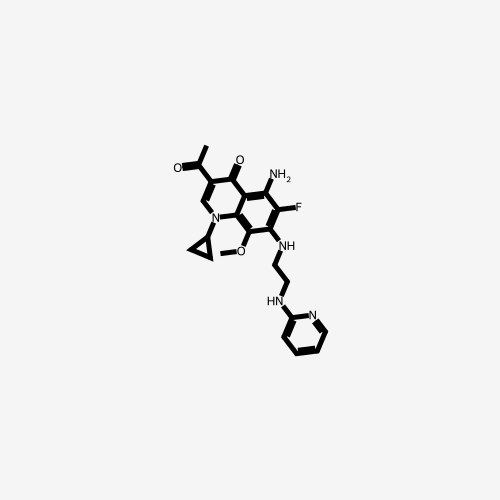 COc1c(NCCNc2ccccn2)c(F)c(N)c2c(=O)c(C(C)=O)cn(C3CC3)c12